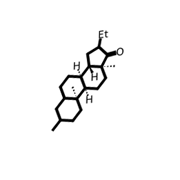 CCC1C[C@H]2[C@@H]3CCC4CC(C)CC[C@]4(C)[C@@H]3CC[C@]2(C)C1=O